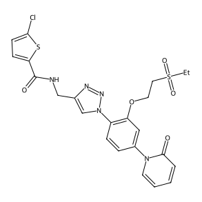 CCS(=O)(=O)CCOc1cc(-n2ccccc2=O)ccc1-n1cc(CNC(=O)c2ccc(Cl)s2)nn1